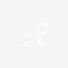 CON(O)C(=O)c1cccs1